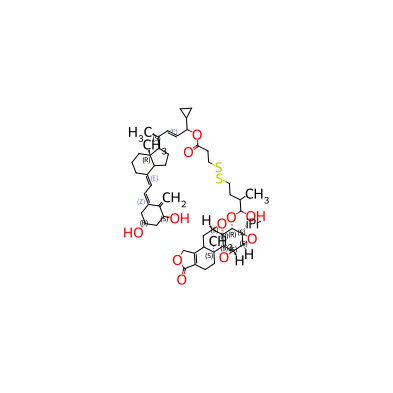 C=C1/C(=C\C=C2/CCC[C@@]3(C)C2CCC3[C@@H](C)/C=C/C(OC(=O)CCSSCCC(C)C(O)O[C@@H]2[C@@]3(C(C)C)O[C@H]3[C@@H]3O[C@]34[C@]23O[C@H]3CC2C3=C(CC[C@@]24C)C(=O)OC3)C2CC2)C[C@@H](O)C[C@@H]1O